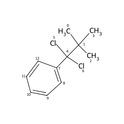 CC(C)(C)C(Cl)(Cl)c1ccccc1